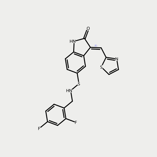 O=C1Nc2ccc(SNCc3ccc(F)cc3F)cc2/C1=C\c1nccs1